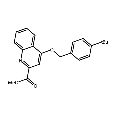 COC(=O)c1cc(OCc2ccc(C(C)(C)C)cc2)c2ccccc2n1